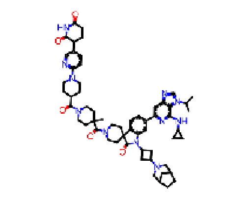 CC(C)n1cnc2cc(-c3ccc4c(c3)N(C3CC(N5CC6CCC(C6)C5)C3)C(=O)C43CCN(C(=O)C4(C)CCN(C(=O)C5CCN(c6ccc(C7CCC(=O)NC7=O)cn6)CC5)CC4)CC3)nc(NC3CC3)c21